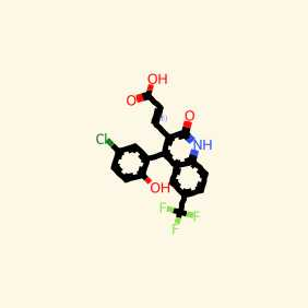 O=C(O)/C=C/c1c(-c2cc(Cl)ccc2O)c2cc(C(F)(F)F)ccc2[nH]c1=O